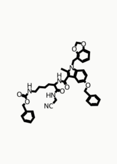 Cc1c(C(=O)NC(CCCCNC(=O)OCc2ccccc2)C(=O)NCC#N)c2cc(OCc3ccccc3)ccc2n1Cc1cccc2c1OCO2